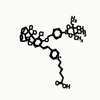 COC1(c2ccc(/C=C/c3cc[n+](CCCCCC(=O)O)cc3)c(OCc3ccc(B4OC(C)(C)C(C)(C)O4)cc3)c2Cl)OOC12C1CC3CC(C1)C2C3